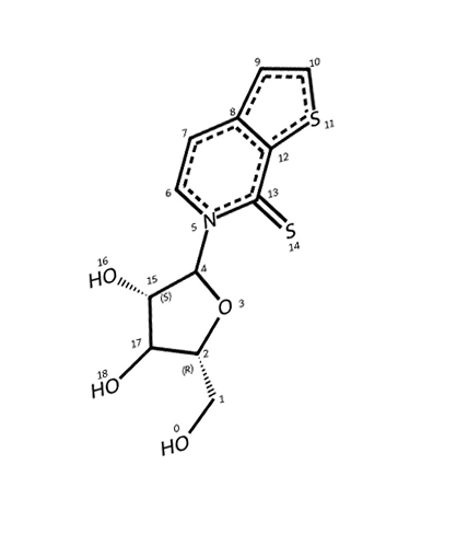 OC[C@H]1OC(n2ccc3ccsc3c2=S)[C@@H](O)C1O